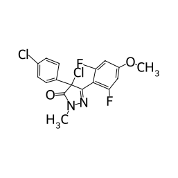 COc1cc(F)c(C2=NN(C)C(=O)C2(Cl)c2ccc(Cl)cc2)c(F)c1